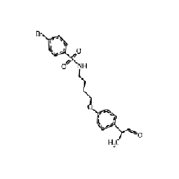 CC(C=O)c1ccc(OCCCCNS(=O)(=O)c2ccc(Br)cc2)cc1